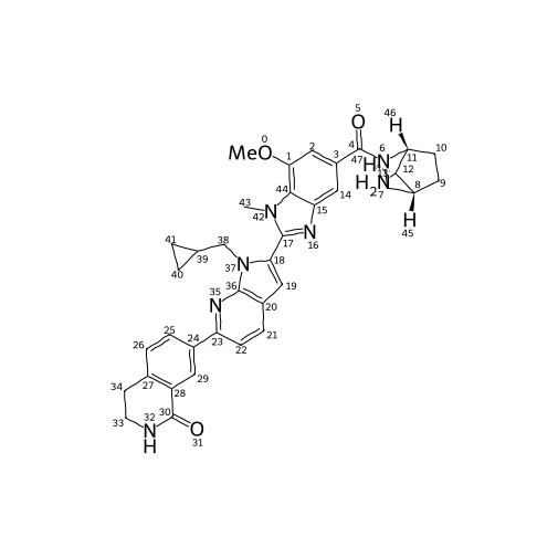 COc1cc(C(=O)N2C[C@H]3CC[C@@H]2[C@@H]3N)cc2nc(-c3cc4ccc(-c5ccc6c(c5)C(=O)NCC6)nc4n3CC3CC3)n(C)c12